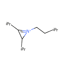 CC(C)CC[N+]1=C(C(C)C)C1C(C)C